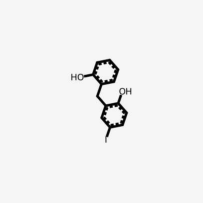 Oc1ccccc1Cc1cc(I)ccc1O